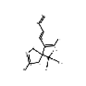 C=C/C=C/C(=C\C)C1(C(F)(F)F)CN=C(C)C1